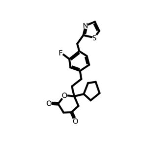 O=C1CC(=O)OC(CCc2ccc(Cc3nccs3)c(F)c2)(C2CCCC2)C1